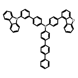 c1ccc(-c2ccc(-c3ccc(N(c4ccc(-c5cccc(-n6c7ccccc7c7ccccc76)c5)cc4)c4ccc(-c5cccc6oc7ccccc7c56)cc4)cc3)cc2)cc1